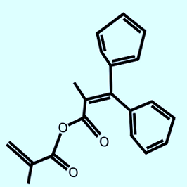 C=C(C)C(=O)OC(=O)C(C)=C(c1ccccc1)c1ccccc1